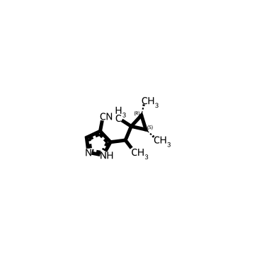 CC(c1[nH]ncc1C#N)C1(C)[C@H](C)[C@@H]1C